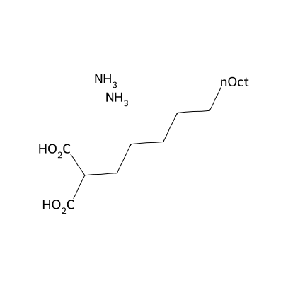 CCCCCCCCCCCCCC(C(=O)O)C(=O)O.N.N